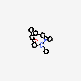 c1ccc(-c2ccc3c(c2)oc2c(-c4nc(-c5ccccc5)nc(-n5c6ccccc6c6ccc(-c7ccccc7)cc65)n4)cccc23)cc1